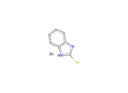 Sc1nc2ccccc2[nH]1.[Zn]